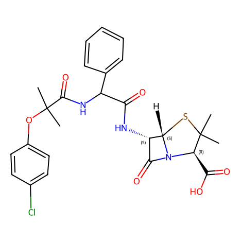 CC(C)(Oc1ccc(Cl)cc1)C(=O)NC(C(=O)N[C@H]1C(=O)N2[C@H]1SC(C)(C)[C@H]2C(=O)O)c1ccccc1